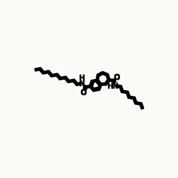 CCCCCCCCCCCNC(=O)c1ccc2c(c1)CCCC(C(=O)NCCCCCCCC)C2